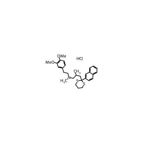 COc1ccc(CCN(C)CC(C)CC2(c3ccc4ccccc4c3)SCCCS2)cc1OC.Cl